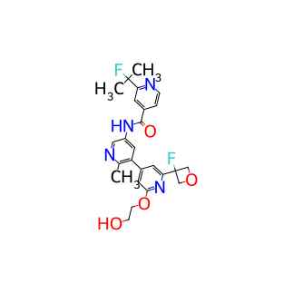 Cc1ncc(NC(=O)c2ccnc(C(C)(C)F)c2)cc1-c1cc(OCCO)nc(C2(F)COC2)c1